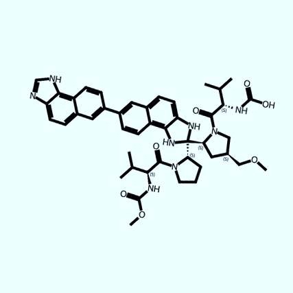 COC[C@H]1C[C@@H](C2([C@@H]3CCCN3C(=O)[C@@H](NC(=O)OC)C(C)C)Nc3ccc4cc(-c5ccc6c(ccc7nc[nH]c76)c5)ccc4c3N2)N(C(=O)[C@@H](NC(=O)O)C(C)C)C1